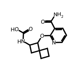 NC(=O)c1cccnc1OC1C(NC(=O)O)CC12CCC2